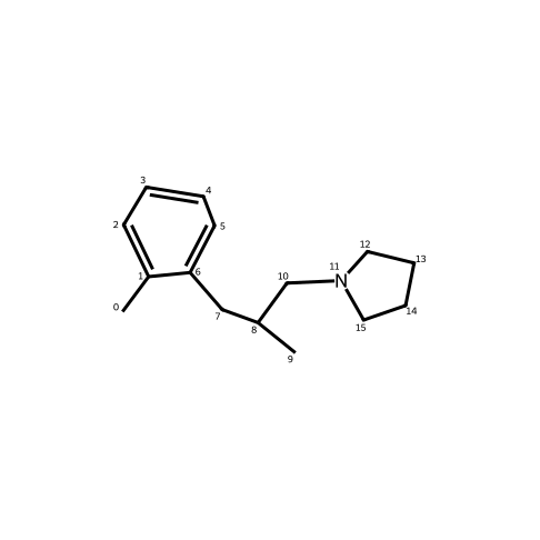 Cc1ccccc1CC(C)CN1CCCC1